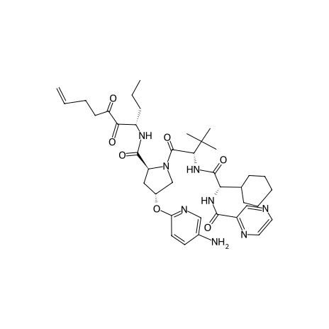 C=CCCC(=O)C(=O)[C@H](CCC)NC(=O)[C@@H]1C[C@@H](Oc2ccc(N)cn2)CN1C(=O)[C@@H](NC(=O)[C@@H](NC(=O)c1cnccn1)C1CCCCC1)C(C)(C)C